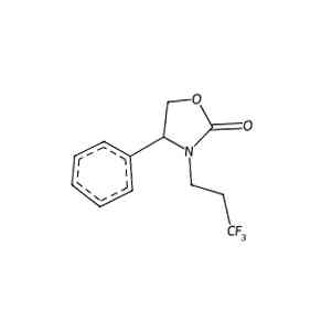 O=C1OCC(c2ccccc2)N1CCC(F)(F)F